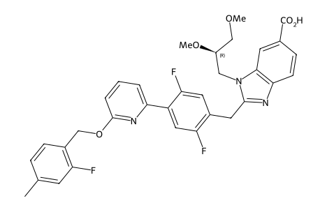 COC[C@@H](Cn1c(Cc2cc(F)c(-c3cccc(OCc4ccc(C)cc4F)n3)cc2F)nc2ccc(C(=O)O)cc21)OC